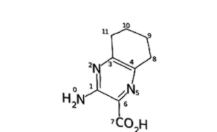 Nc1nc2c(nc1C(=O)O)CCCC2